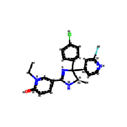 CCn1cc(C2=NC(c3ccc(Cl)cc3)(c3ccnc(F)c3)[C@H](C)N2)ccc1=O